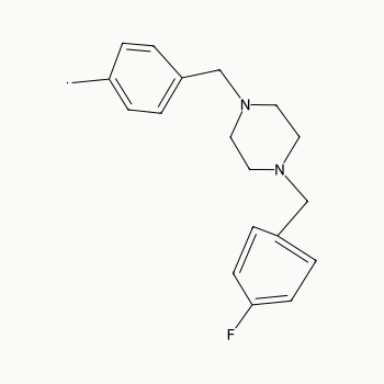 [CH2]c1ccc(CN2CCN(Cc3ccc(F)cc3)CC2)cc1